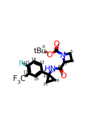 CC(C)(C)OC(=O)N1CCC1C(=O)NC1(c2ccc(F)c(C(F)(F)F)c2)CC1